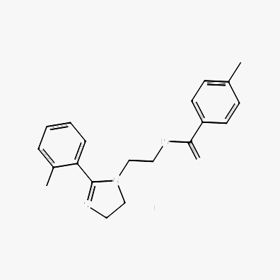 Cc1ccc(C(=O)NCCN2CCN=C2c2ccccc2Cl)cc1.Cl